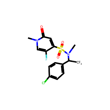 CN(C(c1ccc(Cl)cc1)C(F)(F)F)S(=O)(=O)c1cc(=O)n(C)cc1F